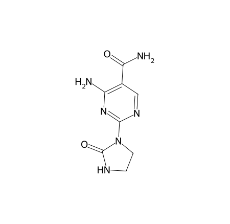 NC(=O)c1cnc(N2CCNC2=O)nc1N